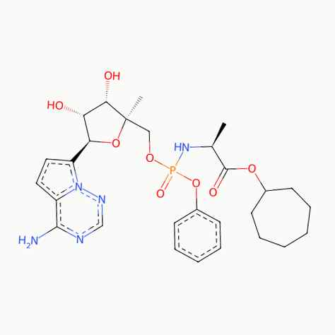 C[C@H](NP(=O)(OC[C@@]1(C)O[C@@H](c2ccc3c(N)ncnn23)[C@H](O)[C@@H]1O)Oc1ccccc1)C(=O)OC1CCCCCC1